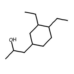 CCC1CCC(CC(C)O)CC1CC